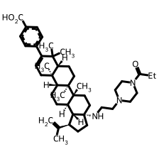 C=C(C)[C@@H]1CC[C@]2(NCCN3CCN(C(=O)CC)CC3)CC[C@]3(C)[C@H](CC[C@@H]4[C@@]5(C)CC=C(c6ccc(C(=O)O)cc6)C(C)(C)[C@@H]5CC[C@]43C)[C@@H]12